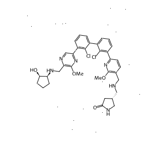 COc1nc(-c2cccc(-c3cccc(-c4cnc(CN[C@H]5CCC[C@H]5O)c(OC)n4)c3Cl)c2Cl)ccc1CNC[C@@H]1CNC(=O)C1